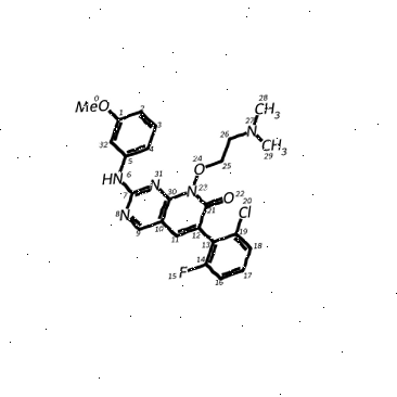 COc1cccc(Nc2ncc3cc(-c4c(F)cccc4Cl)c(=O)n(OCCN(C)C)c3n2)c1